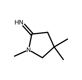 CN1CC(C)(C)CC1=N